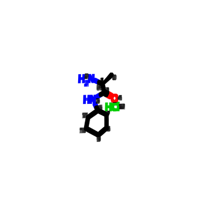 C[C@H](N)C(=O)NC1CCCCC1.Cl